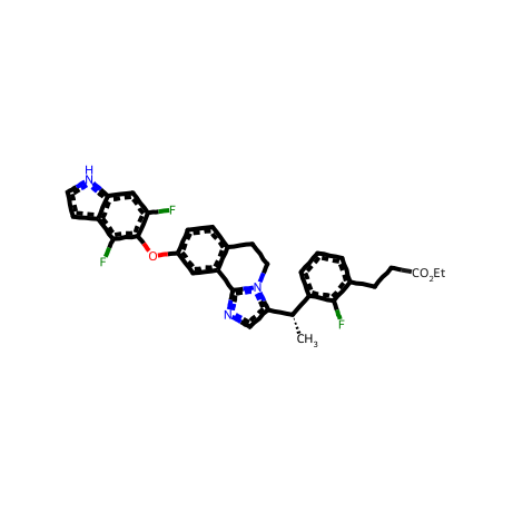 CCOC(=O)CCc1cccc([C@H](C)c2cnc3n2CCc2ccc(Oc4c(F)cc5[nH]ccc5c4F)cc2-3)c1F